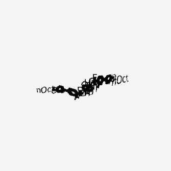 CCCCCCCCOc1ccc(-c2ccc(C(F)(F)O[C@H]3CO[C@@H]4[C@H]3OC[C@H]4OC(F)(F)c3ccc(-c4ccc(OCCCCCCCC)cc4)cc3F)c(F)c2)cc1